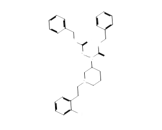 Cc1ccccc1CCN1CCCC(N(NC(=O)OCc2ccccc2)C(=O)OCc2ccccc2)C1